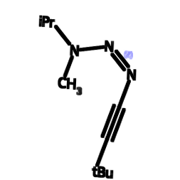 CC(C)N(C)/N=N\C#CC(C)(C)C